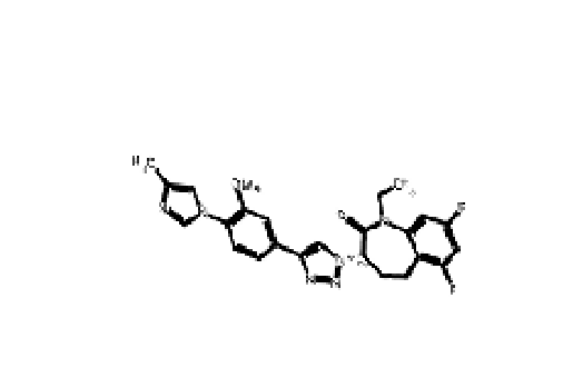 COc1cc(-c2cn([C@H]3CCc4c(F)cc(F)cc4N(CC(F)(F)F)C3=O)nn2)ccc1-n1cnc(C)c1